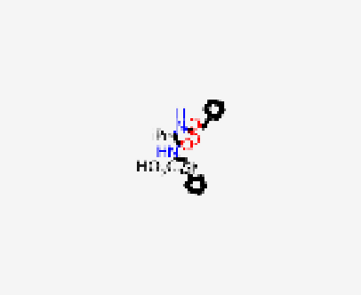 CC(C)[C@H](NC(=O)OCc1ccccc1)C(=O)NC(C[Si](C)(C)c1ccccc1)C(=O)O